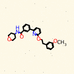 COc1cccc(CCOc2cccc(-c3cccc(C(=O)NC4CCOCC4)c3)n2)c1